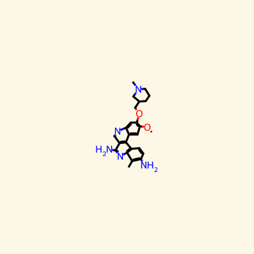 COc1cc2c(cc1OCC1CCCN(C)C1)ncc1c(N)nc3c(C)c(N)ccc3c12